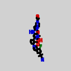 Cn1nc(-c2cccc(-n3ccc4cc(C(C)(C)C#N)cc(F)c4c3=O)c2CO)cc(Nc2cc3n(n2)CCN(C2COC2)C3)c1=O